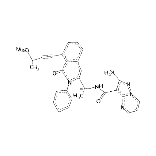 COC(C)C#Cc1cccc2cc([C@@H](C)NC(=O)c3c(N)nn4cccnc34)n(-c3ccccc3)c(=O)c12